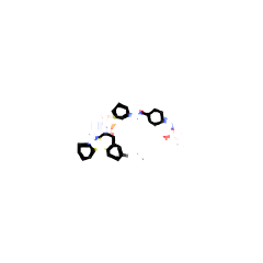 CC(C)(C)OC(=O)NC1CCC(C(=O)Nc2cccc(S(=O)(=O)NC(Cc3cccc(C#N)c3)c3nc4ccccc4s3)c2)CC1